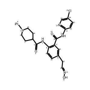 CC(C)N1CCC(C(=O)Nc2ccc(CC=NO)cc2C(=O)Nc2ccc(Cl)cn2)CC1